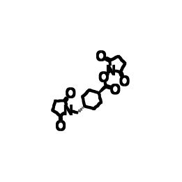 O=C1CCC(=O)N1C[C@H]1CC[C@H](C(=O)ON2C(=O)CCC2=O)CC1